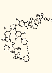 COC(=O)NC(C(=O)N1CCC[C@H]1c1nc2cc([C@H]3CC[C@H](c4cc5nc([C@@H]6CCCN6C(=O)[C@@H](NC(=O)OC)C(C)C)[nH]c5cc4F)N3c3cc(F)c(N4CCC(CCCc5ccccc5)CC4)c(F)c3)c(F)cc2[nH]1)C(C)C